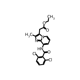 CCOC(=O)Cc1c(C)nc2c(NC(=O)c3c(Cl)cccc3Cl)cccn12